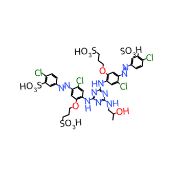 CC(O)CNc1nc(Nc2cc(Cl)c(N=Nc3ccc(Cl)c(S(=O)(=O)O)c3)cc2OCCCS(=O)(=O)O)nc(Nc2cc(Cl)c(N=Nc3ccc(Cl)c(S(=O)(=O)O)c3)cc2OCCCS(=O)(=O)O)n1